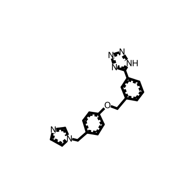 c1cc(COc2ccc(Cn3ccnc3)cc2)cc(-c2nnn[nH]2)c1